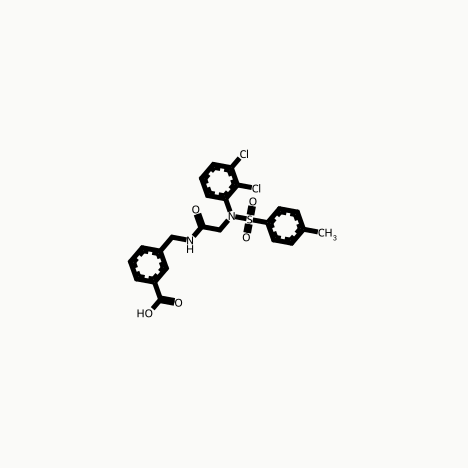 Cc1ccc(S(=O)(=O)N(CC(=O)NCc2cccc(C(=O)O)c2)c2cccc(Cl)c2Cl)cc1